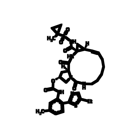 CCc1cnc(-c2ccc(C)cc2NC(=O)O[C@@H]2C[C@H]3C(=O)N[C@]4(C(=O)NS(=O)(=O)C5(C)CC5)C[C@H]4/C=C\CCCCCNC(=O)N3C2)s1